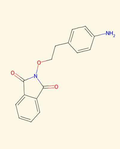 Nc1ccc(CCON2C(=O)c3ccccc3C2=O)cc1